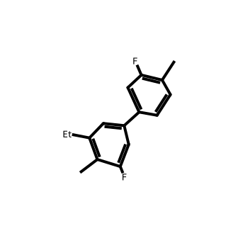 CCc1cc(-c2ccc(C)c(F)c2)cc(F)c1C